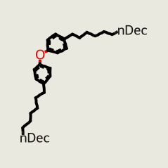 CCCCCCCCCCCCCCCCc1ccc(Oc2ccc(CCCCCCCCCCCCCCCC)cc2)cc1